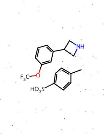 Cc1ccc(S(=O)(=O)O)cc1.FC(F)(F)Oc1cccc(C2CNC2)c1